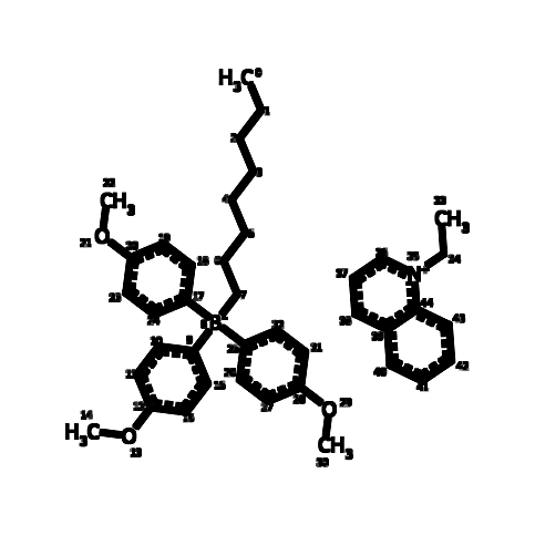 CCCCCCCC[B-](c1ccc(OC)cc1)(c1ccc(OC)cc1)c1ccc(OC)cc1.CC[n+]1cccc2ccccc21